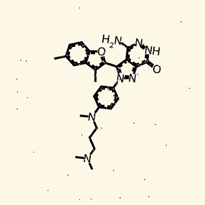 Cc1ccc2oc(-c3c4c(N)n[nH]c(=O)c4nn3-c3ccc(N(C)CCCN(C)C)cc3)c(C)c2c1